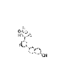 CCS(=O)(=O)NC(c1cncc(-c2ccc3cc(C#N)ccc3c2)c1)C1CC1